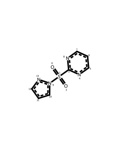 O=S(=O)(c1ncccn1)n1cccn1